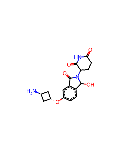 N[C@H]1C[C@H](Oc2ccc3c(c2)C(=O)N(C2CCC(=O)NC2=O)C3O)C1